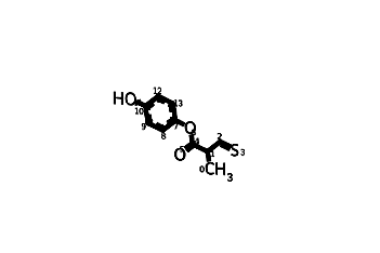 CC(C=S)C(=O)Oc1ccc(O)cc1